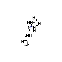 CN/C(=N/CCNCc1cnccn1)NC#N